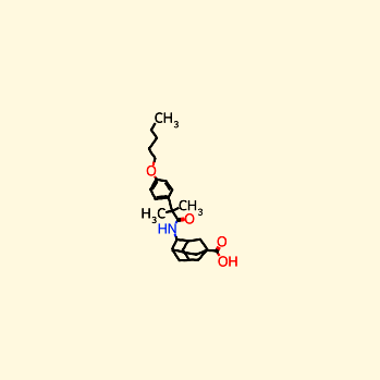 CCCCCOc1ccc(C(C)(C)C(=O)NC2C3CC4CC2CC(C(=O)O)(C4)C3)cc1